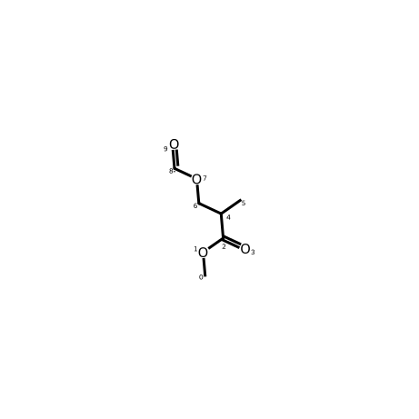 COC(=O)C(C)CO[C]=O